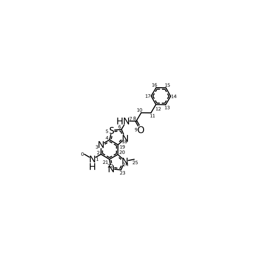 CNc1nc2sc(NC(=O)CCc3ccccc3)nc2c2c1ncn2C